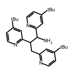 CC(C)(C)c1ccnc(CC(c2cc(C(C)(C)C)ccn2)C(N)c2cc(C(C)(C)C)ccn2)c1